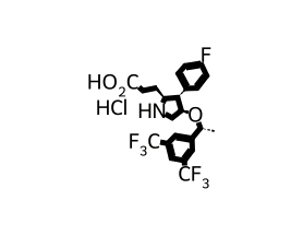 C[C@@H](O[C@H]1CN[C@@H](CCC(=O)O)[C@@H]1c1ccc(F)cc1)c1cc(C(F)(F)F)cc(C(F)(F)F)c1.Cl